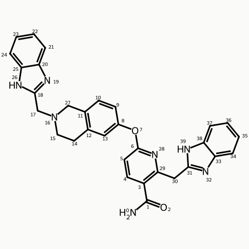 NC(=O)c1ccc(Oc2ccc3c(c2)CCN(Cc2nc4ccccc4[nH]2)C3)nc1Cc1nc2ccccc2[nH]1